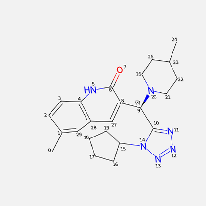 Cc1ccc2[nH]c(=O)c([C@H](c3nnnn3C3CCCC3)N3CCC(C)CC3)cc2c1